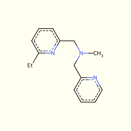 CCc1cccc(CN(C)Cc2ccccn2)n1